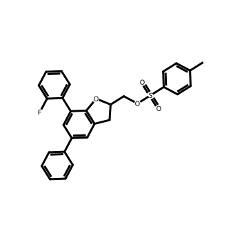 Cc1ccc(S(=O)(=O)OCC2Cc3cc(-c4ccccc4)cc(-c4ccccc4F)c3O2)cc1